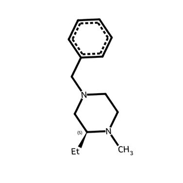 CC[C@H]1CN(Cc2ccccc2)CCN1C